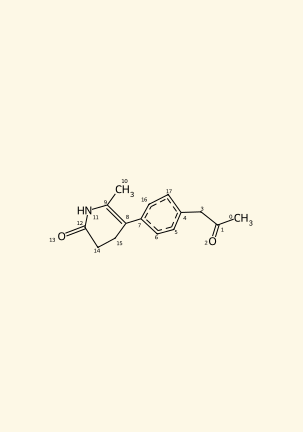 CC(=O)Cc1ccc(C2=C(C)NC(=O)CC2)cc1